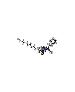 CCCCCCCCCCCCS(=O)(=O)O/N=C(C#N)/C=C/c1cccs1